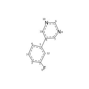 Fc1[c]ccc(-c2cncnc2)c1